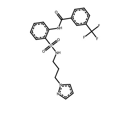 O=C(Nc1ccccc1S(=O)(=O)NCCCn1cccn1)c1cccc(C(F)(F)F)c1